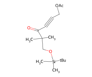 CC(=O)OCC#CC(=O)C(C)(C)CO[Si](C)(C)C(C)(C)C